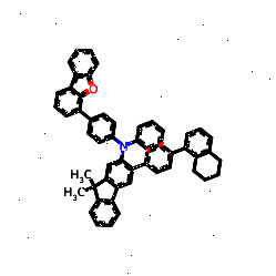 CC1(C)c2ccccc2-c2cc(-c3ccc(-c4cccc5c4CCCC5)cc3)c(N(c3ccccc3)c3ccc(-c4cccc5c4oc4ccccc45)cc3)cc21